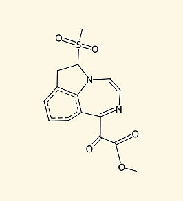 COC(=O)C(=O)C1=NC=CN2c3c(cccc31)CC2S(C)(=O)=O